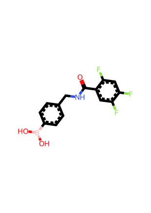 O=C(NCc1ccc(B(O)O)cc1)c1cc(F)c(F)cc1F